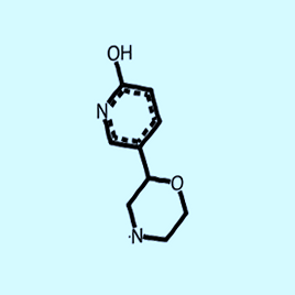 Oc1ccc(C2C[N]CCO2)cn1